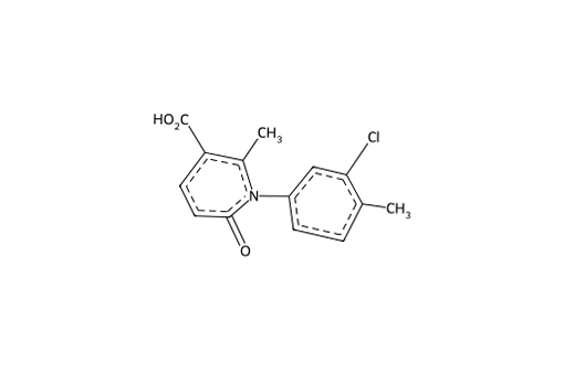 Cc1ccc(-n2c(C)c(C(=O)O)ccc2=O)cc1Cl